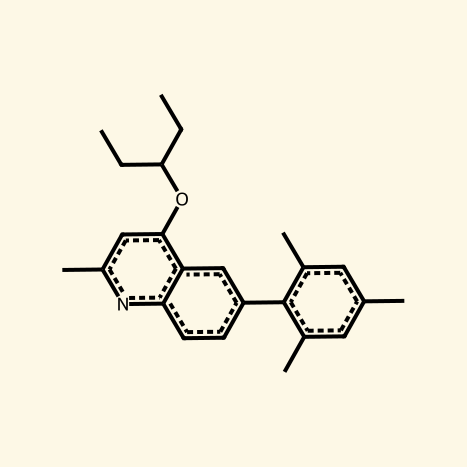 CCC(CC)Oc1cc(C)nc2ccc(-c3c(C)cc(C)cc3C)cc12